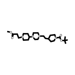 COC(=O)CCN1CCC(N2CCN(CCC3CCN(C(=O)OC(C)(C)C)CC3)CC2)CC1